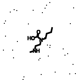 CCCCN(CCNC)C(=O)O